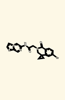 O=C(CN1CC2(CC2)c2cc(Br)ccc2C1=O)Nc1cn2ccnc2cn1